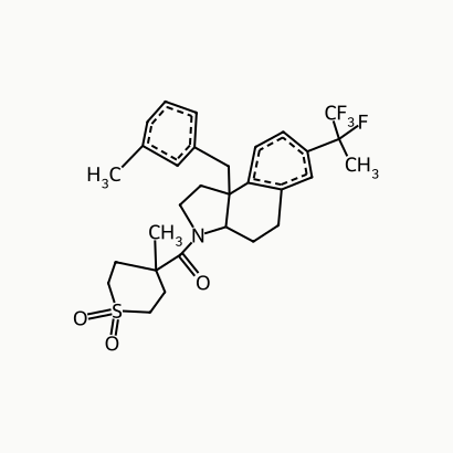 Cc1cccc(CC23CCN(C(=O)C4(C)CCS(=O)(=O)CC4)C2CCc2cc(C(C)(F)C(F)(F)F)ccc23)c1